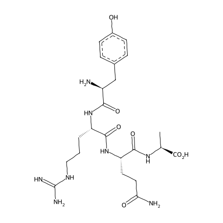 C[C@H](NC(=O)[C@H](CCC(N)=O)NC(=O)[C@H](CCCNC(=N)N)NC(=O)[C@@H](N)Cc1ccc(O)cc1)C(=O)O